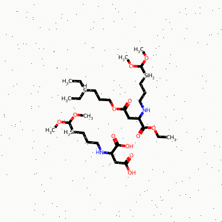 CCOC(=O)C(CC(=O)OCCC[SiH](CC)CC)NCCC[SiH2]C(OC)OC.COC(OC)[SiH2]CCCNC(CC(=O)O)C(=O)O